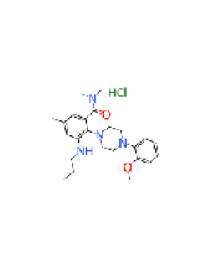 CCCNc1cc(C)cc(C(=O)N(C)C)c1N1CCN(c2ccccc2OC)CC1.Cl